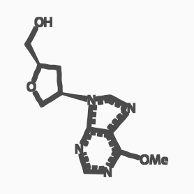 COc1ncnc2c1ncn2[C@H]1CO[C@@H](CO)C1